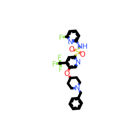 O=S(=O)(Nc1cccc(F)n1)c1cc(C(F)(F)F)c(OC2CCN(Cc3ccccc3)CC2)cn1